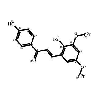 CCCOc1cc(C=CC(=O)c2ccc(O)cc2)c(C(C)(C)C)c(OCCC)c1